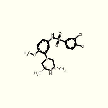 COc1ccc(NS(=O)(=O)c2ccc(Cl)c(Cl)c2)cc1N1C[C@@H](C)N[C@@H](C)C1